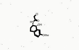 COc1ccc2c(c1)[C@@H](O)[C@H](NC(=O)CCl)CC2